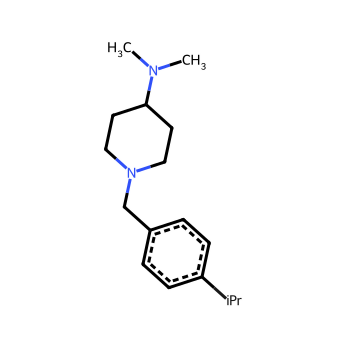 CC(C)c1ccc(CN2CCC(N(C)C)CC2)cc1